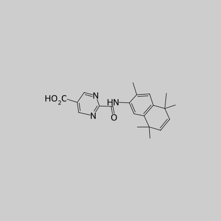 Cc1cc2c(cc1NC(=O)c1ncc(C(=O)O)cn1)C(C)(C)C=CC2(C)C